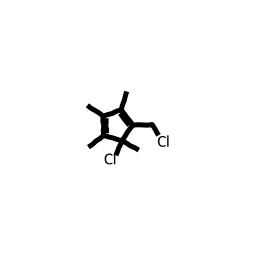 CC1=C(C)C(C)(Cl)C(CCl)=C1C